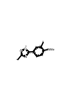 CNc1ccc(-c2nc(C)no2)cc1C